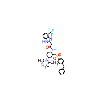 CC(C)N(C)C1CCC(NC(=O)Cc2nc3c(C(F)(F)F)cccc3[nH]2)C(CS(=O)(=O)c2ccc(Cc3ccccc3)cc2)C1